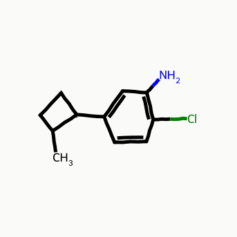 CC1CC[C]1c1ccc(Cl)c(N)c1